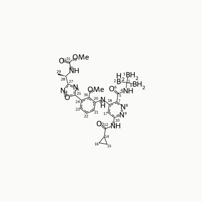 BC(B)(B)NC(=O)c1nnc(NC(=O)C2CC2)cc1Nc1cccc(-c2nc([C@@H](C)NC(=O)OC)no2)c1OC